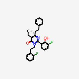 CCc1c(CCc2ccccc2)nc(-c2cccc(F)c2O)n(CCc2ccccc2F)c1=O